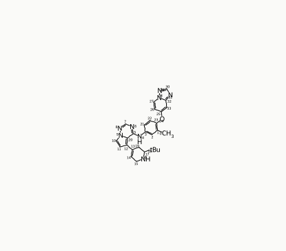 Cc1cc(Nc2ncnn3ccc(C4=CCNC(C(C)(C)C)C4)c23)ccc1Oc1ccn2ncnc2c1